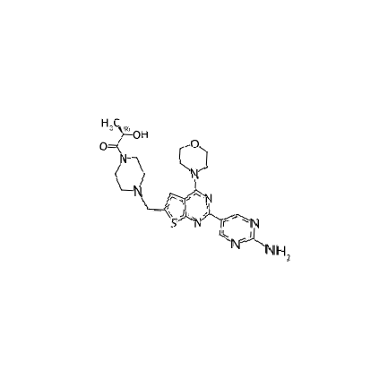 C[C@@H](O)C(=O)N1CCN(Cc2cc3c(N4CCOCC4)nc(-c4cnc(N)nc4)nc3s2)CC1